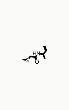 C=CC(C)NC(=O)CSC